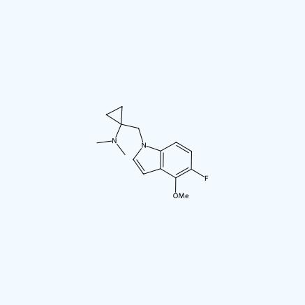 COc1c(F)ccc2c1ccn2CC1(N(C)C)CC1